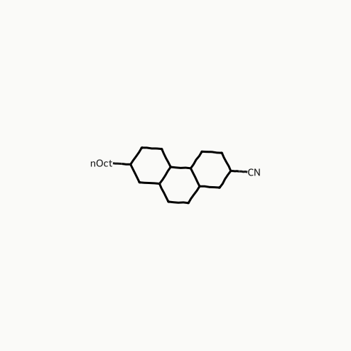 CCCCCCCCC1CCC2C(CCC3CC(C#N)CCC32)C1